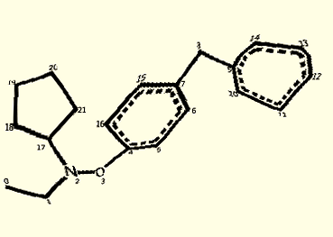 CCN(Oc1ccc(Cc2ccccc2)cc1)C1CCCC1